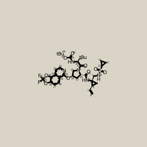 C=C[C@@H]1C[C@@]1(CNS(=O)(=O)C1CC1)NC(=O)[C@@H]1C[C@@H](Oc2nccc3c4c(ccc23)OC(F)(F)O4)CN1C(=O)[C@@H](NC(=O)OC(C)(C)C)C(C)(C)C